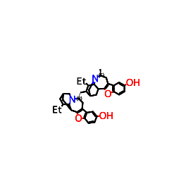 CCC1CC2CC3c4oc5ccc(O)cc5c4C[C@@H](CC4C5CC6c7oc8ccc(O)cc8c7C[C@H](C)N(C5)C6C4CC)N(C2)C13